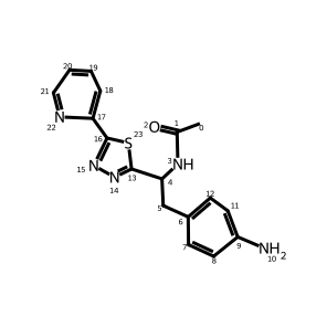 CC(=O)NC(Cc1ccc(N)cc1)c1nnc(-c2ccccn2)s1